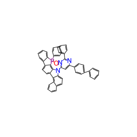 O=P1(c2ccccc2)c2ccccc2-c2ccc3c4c5ccccc5ccc4n(-c4cc(-c5ccc(-c6ccccc6)cc5)nc(-c5ccccc5)n4)c3c21